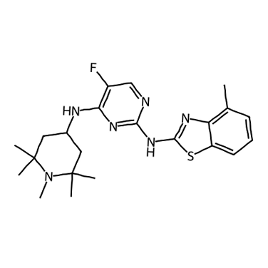 Cc1cccc2sc(Nc3ncc(F)c(NC4CC(C)(C)N(C)C(C)(C)C4)n3)nc12